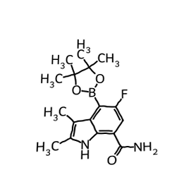 Cc1[nH]c2c(C(N)=O)cc(F)c(B3OC(C)(C)C(C)(C)O3)c2c1C